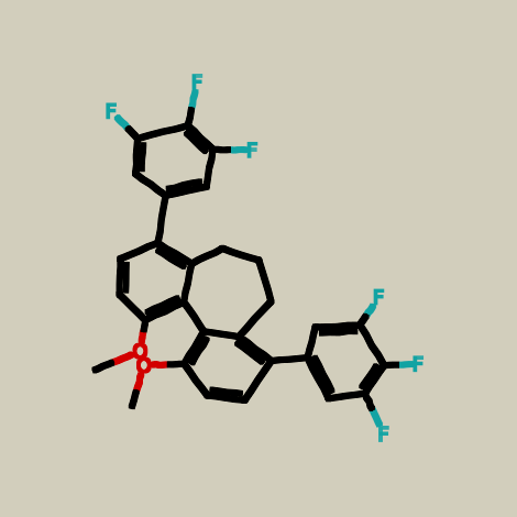 COc1ccc(-c2cc(F)c(F)c(F)c2)c2c1-c1c(OC)ccc(-c3cc(F)c(F)c(F)c3)c1CCC2